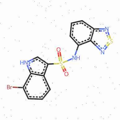 O=S(=O)(Nc1cccc2nsnc12)c1c[nH]c2c(Br)cccc12